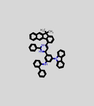 CC1(C)c2cc3ccccc3cc2-c2c(/C=C/C(NC(N)c3ccccc3)c3cc(Nc4ccccc4-c4ccccc4)cc(-n4c5ccccc5c5ccccc54)c3)cccc21